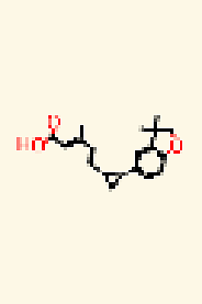 CC(C=C[C@@H]1C[C@@H]1c1ccc2c(c1)C(C)(C)CO2)=CC(=O)O